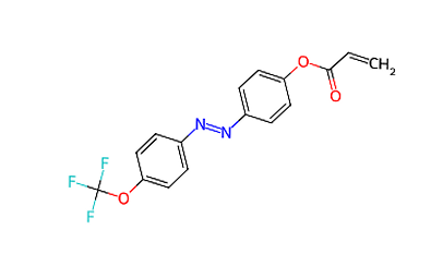 C=CC(=O)Oc1ccc(N=Nc2ccc(OC(F)(F)F)cc2)cc1